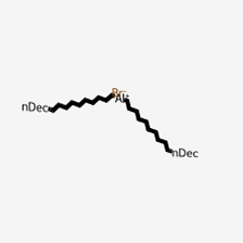 CCCCCCCCCCCCCCCCCCC[CH2][Al+][CH2]CCCCCCCCCCCCCCCCCCC.[Br-]